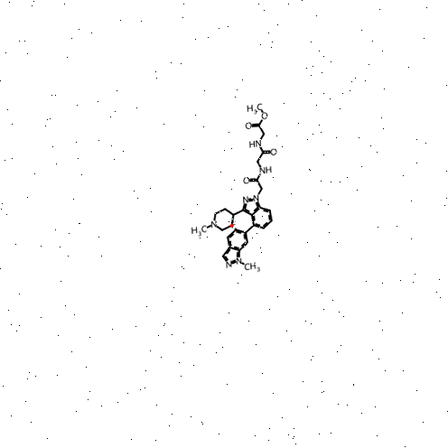 COC(=O)CNC(=O)CNC(=O)Cn1nc(C2CCN(C)CC2)c2c(-c3cc4c(cnn4C)cc3F)cccc21